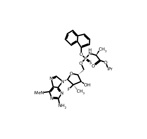 CNc1nc(N)nc2c1ncn2[C@@H]1O[C@H](COP(=S)(N[C@@H](C)C(=O)OC(C)C)Oc2cccc3ccccc23)[C@@H](O)[C@@]1(C)F